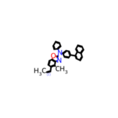 C/C=C\c1ccc2oc(N(c3ccccc3)c3ccc(-c4cccc5ccccc45)cc3)nc2c1C